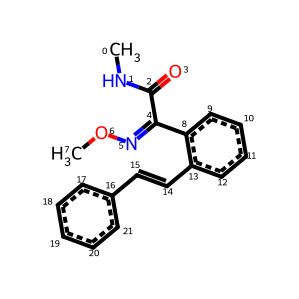 CNC(=O)C(=NOC)c1ccccc1C=Cc1ccccc1